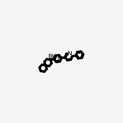 BC1(c2ccc(-c3ccc(-c4ccccc4)nc3)cc2)CCC2(CCCCC2)CC1